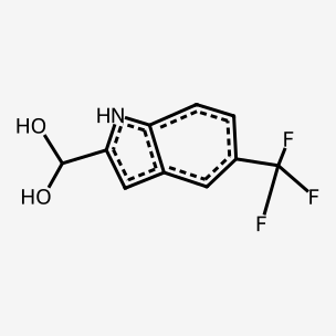 OC(O)c1cc2cc(C(F)(F)F)ccc2[nH]1